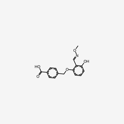 CO/N=C/c1c(O)cccc1OCc1ccc(C(=O)O)cc1